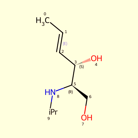 C/C=C/[C@H](O)[C@@H](CO)NC(C)C